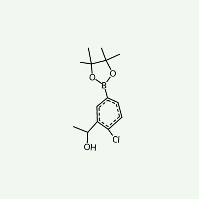 CC(O)c1cc(B2OC(C)(C)C(C)(C)O2)ccc1Cl